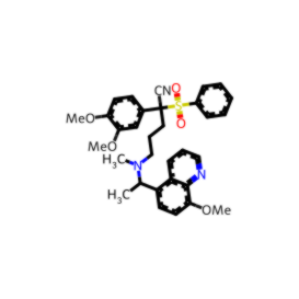 COc1ccc(C(C#N)(CCCN(C)C(C)c2ccc(OC)c3ncccc23)S(=O)(=O)c2ccccc2)cc1OC